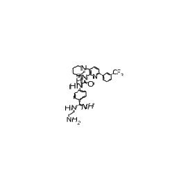 N=C(NCCN)c1ccc(NC(=O)N2c3nc(-c4cccc(C(F)(F)F)c4)ccc3N3CCC[C@@H]2C3)cc1